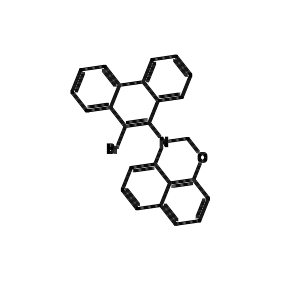 Brc1c(N2COc3cccc4cccc2c34)c2ccccc2c2ccccc12